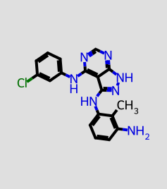 Cc1c(N)cccc1Nc1n[nH]c2ncnc(Nc3cccc(Cl)c3)c12